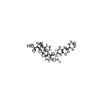 Cc1cccc(-c2cccc3[n+]2C(C)Oc2c(C(=O)O)cnn2-3)c1OCc1ccc2c(c1)CCN(C1CCOCC1)C2